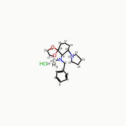 CN(Cc1ccccc1)C1C(N2CCCC2)CCCC12OCCO2.Cl